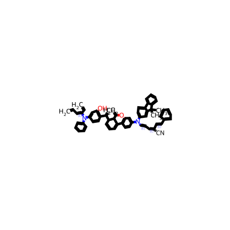 C=C/C=C(\C=C)N(c1ccccc1)c1ccc(C(=C)C2C=CC=C3c4ccc(N(/C=C/C=C(C#N)\C=C\c5ccccc5)c5ccc6c(c5)C(C)(C)c5ccccc5-6)cc4OC(=C)C32)c(O)c1